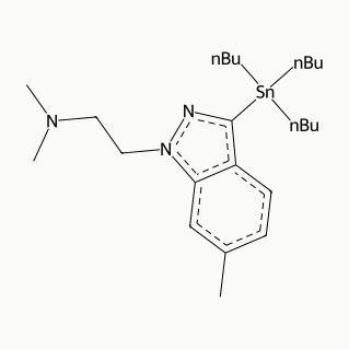 CCC[CH2][Sn]([CH2]CCC)([CH2]CCC)[c]1nn(CCN(C)C)c2cc(C)ccc12